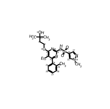 CCc1c(OCCC(C)(C)O)nc(NS(=O)(=O)c2cnn(C)c2)nc1-c1ccccc1C